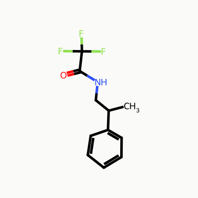 CC(CNC(=O)C(F)(F)F)c1ccccc1